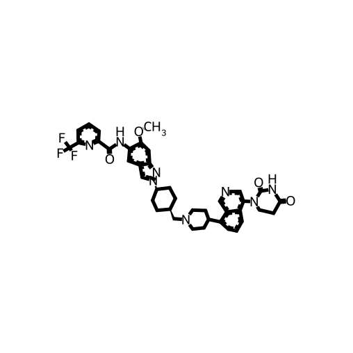 COc1cc2nn([C@H]3CC[C@H](CN4CCC(c5cccc6c(N7CCC(=O)NC7=O)cncc56)CC4)CC3)cc2cc1NC(=O)c1cccc(C(F)(F)F)n1